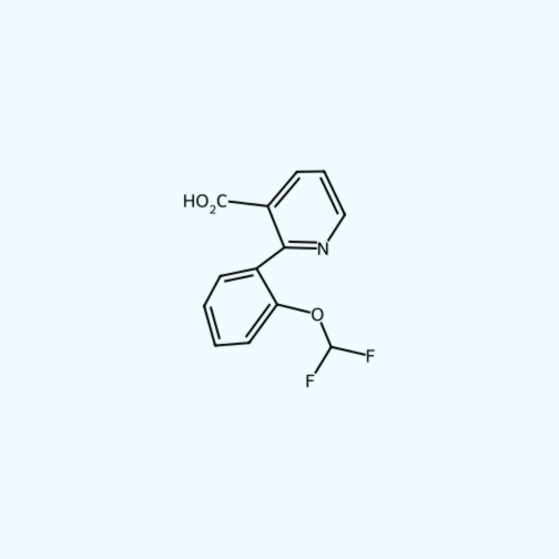 O=C(O)c1cccnc1-c1ccccc1OC(F)F